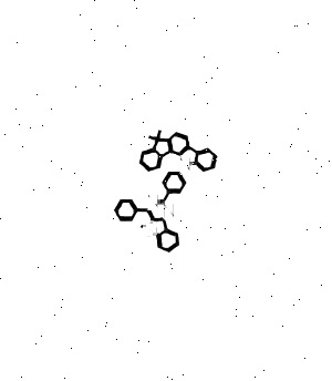 CC1(C)c2ccccc2-c2c1ccc1c3ccccc3n(-c3ccc(-c4nc(-c5ccccc5)c5c(n4)-c4ccccc4[Si]5(C)C)cc3)c21